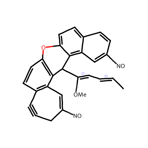 C/C=C/C=C(\OC)C1c2c(ccc3c2C=C(N=O)CC#C3)Oc2ccc3ccc(N=O)cc3c21